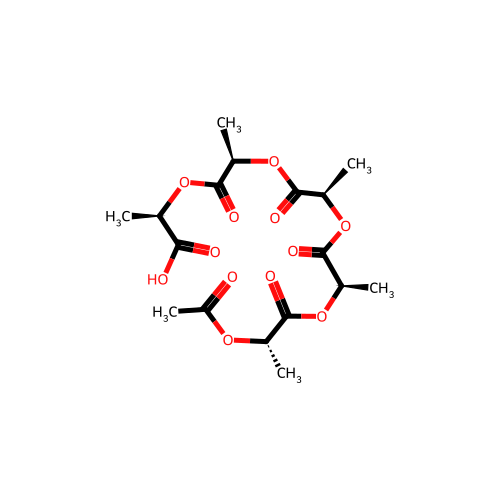 CC(=O)O[C@@H](C)C(=O)O[C@H](C)C(=O)O[C@H](C)C(=O)O[C@H](C)C(=O)O[C@H](C)C(=O)O